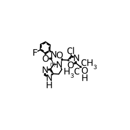 CC(C)(O)c1nc(Cl)c(C(=O)N2CCc3[nH]cnc3[C@H]2c2nc3cccc(F)c3o2)o1